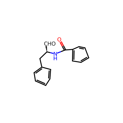 O=C[C@H](Cc1ccccc1)NC(=O)c1ccccc1